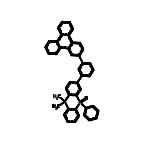 CC1(C)c2ccccc2P(=O)(c2ccccc2)c2cc(-c3cccc(-c4ccc5c6ccccc6c6ccccc6c5c4)c3)ccc21